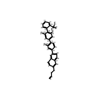 C=CCCc1ccc2cc(-c3ccc(-c4cc(F)c(-c5ccccc5C(F)(F)F)c(F)c4)c(F)c3)ccc2c1